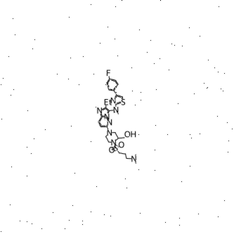 CCc1nc2ccc(N3CCN(S(=O)(=O)CCCN(C)C)C(CO)C3)nn2c1N(C)c1nc(-c2ccc(F)cc2)cs1